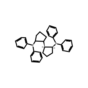 c1ccc(P(c2ccccc2)C2CCCC2[C@@H]2CCC[C@@H]2P(c2ccccc2)c2ccccc2)cc1